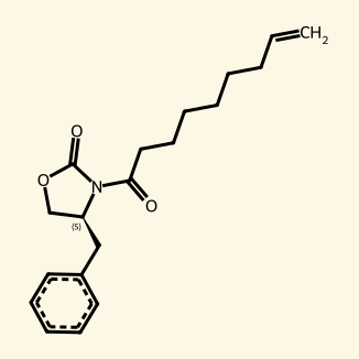 C=CCCCCCCC(=O)N1C(=O)OC[C@@H]1Cc1ccccc1